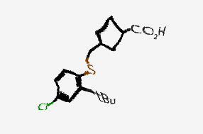 CC(C)(C)c1cc(Cl)ccc1SCC1CCC(C(=O)O)C1